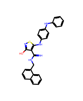 N=C(NCc1cccc2ccccc12)c1c(O)nsc1Nc1ccc(Nc2ccccc2)cc1